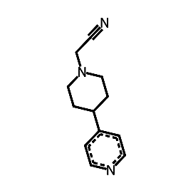 N#CCN1CCC(c2ccncc2)CC1